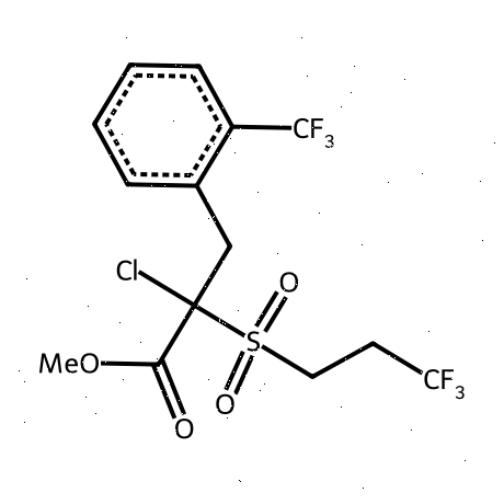 COC(=O)C(Cl)(Cc1ccccc1C(F)(F)F)S(=O)(=O)CCC(F)(F)F